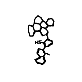 Cc1c(-c2cccc(C3CC4C5CCCCC5C5CCCC6C7CCCCC7C(C3)C4C56)c2S)ccc2ccccc12